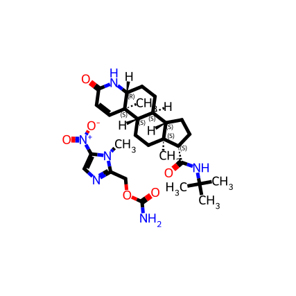 CC(C)(C)NC(=O)[C@H]1CC[C@H]2[C@@H]3CC[C@H]4NC(=O)C=C[C@]4(C)[C@H]3CC[C@]12C.Cn1c([N+](=O)[O-])cnc1COC(N)=O